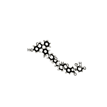 O=C1CC[C@H](N2Cc3c(ccc4c3OC[C@H]3CN(C[C@@H]5COC6(CCN(c7ccc([C@@H]8c9ccc(O)cc9OC[C@@H]8c8ccccc8)cc7F)CC6)C5)CCN43)C2=O)C(=O)N1